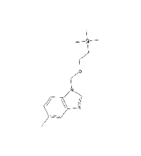 Cc1ccc2c(c1)ncn2COCC[Si](C)(C)C